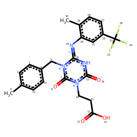 Cc1ccc(Cn2c(=O)n(CCC(=O)O)c(=O)[nH]/c2=N\c2cc(C(F)(F)F)ccc2C)cc1